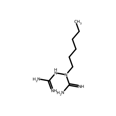 CCCCCCN(NC(=N)N)C(=N)N